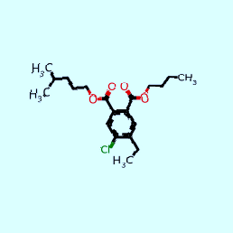 CCCCOC(=O)c1cc(CC)c(Cl)cc1C(=O)OCCCC(C)C